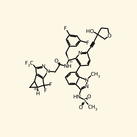 Cn1nc(NS(C)(=O)=O)c2cccc(-c3ccc(C#CC4(O)CCOC4)nc3[C@H](Cc3cc(F)cc(F)c3)NC(=O)Cn3nc(C(F)(F)F)c4c3C(F)(F)[C@@H]3CC43)c21